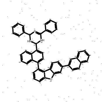 c1ccc(C2=NC(c3ccccc3)NC(c3ccc(-c4cccc5oc6cc(-c7ccc8ccccc8c7)ccc6c45)c4ccccc34)N2)cc1